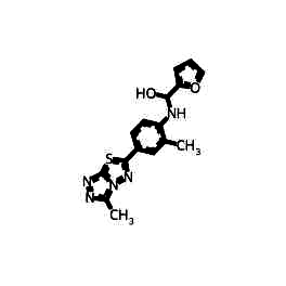 Cc1cc(-c2nn3c(C)nnc3s2)ccc1NC(O)c1ccco1